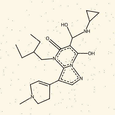 CCC(CC)Cn1c(=O)c(C(O)NC2CC2)c(O)n2ncc(C3=CCN(C)CC3)c12